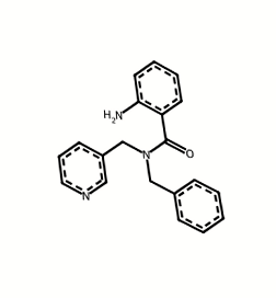 Nc1ccccc1C(=O)N(Cc1ccccc1)Cc1cccnc1